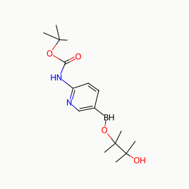 CC(C)(C)OC(=O)Nc1ccc(BOC(C)(C)C(C)(C)O)cn1